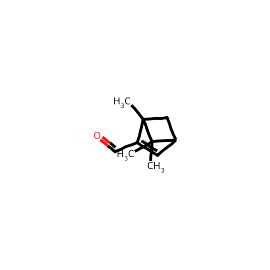 CC12CC(C=C1[C]=O)C2(C)C